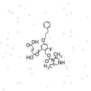 C[C@@H]1CNC[C@H](C)N1C(=O)OCc1c(F)cc(OCCCc2ccccc2)cc1F.O=C(O)/C=C/C(=O)O